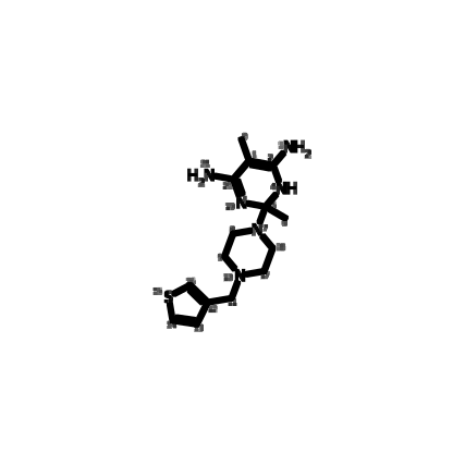 CC1=C(N)NC(C)(N2CCN(Cc3ccsc3)CC2)N=C1N